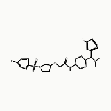 CN(C)C(c1cccc(F)c1)C1CCC(NC(=O)COC2CCN(S(=O)(=O)c3ccc(F)cc3)C2)CC1